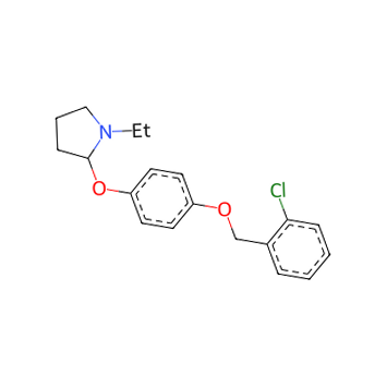 CCN1CCCC1Oc1ccc(OCc2ccccc2Cl)cc1